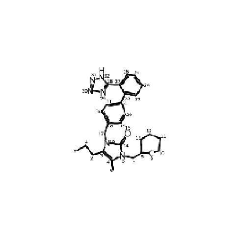 CCCc1c(C)n(CC2CCCCC2)c(=O)n1Cc1ccc(-c2ccccc2-c2nnn[nH]2)cc1